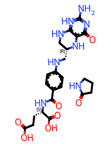 Nc1nc(=O)c2c([nH]1)NC[C@@H](CNc1ccc(C(=O)N[C@@H](CCC(=O)O)C(=O)O)cc1)N2.O=C1CCCN1